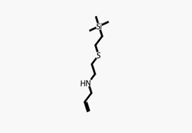 C=CCNCCSCC[Si](C)(C)C